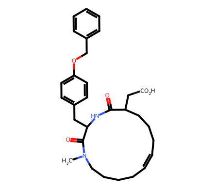 CN1CCCCC=CCCCC(CC(=O)O)C(=O)NC(Cc2ccc(OCc3ccccc3)cc2)C1=O